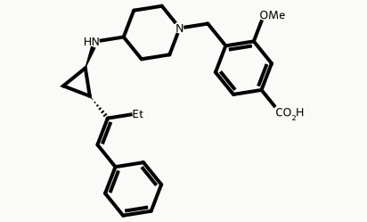 CC/C(=C\c1ccccc1)[C@@H]1C[C@H]1NC1CCN(Cc2ccc(C(=O)O)cc2OC)CC1